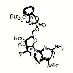 CCOC(=O)[C@H](C)NP(=O)(OC[C@H]1O[C@@H](n2cnc3c(NC)nc(N)nc32)[C@@](F)(C(F)F)[C@@H]1O)Oc1ccccc1